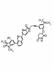 CC(C)c1cc(-c2cccc3cc(-c4ccc(C(=O)NCC#Cc5cc(OC6CCC(=O)NC6=O)cc(N(C)C)c5)nc4)ncc23)cc2c1n(C)c(=O)n2C